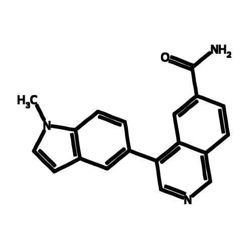 Cn1ccc2cc(-c3cncc4ccc(C(N)=O)cc34)ccc21